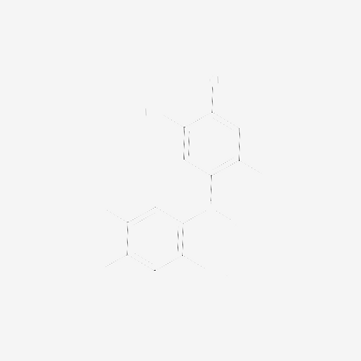 Cc1cc(C)c(P(Cl)c2cc(C)c(C)cc2C)cc1C